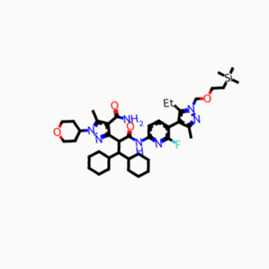 CCc1c(-c2ccc(NC(=O)C(c3nn(C4CCOCC4)c(C)c3C(N)=O)C(C3CCCCC3)C3CCCCC3)nc2F)c(C)nn1COCC[Si](C)(C)C